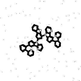 C1=CC(c2ccc3c(c2)c2ncccc2n3-c2cc(-n3c4ccc(-c5ccccc5-c5ccccn5)cc4c4ncccc43)cc3c2oc2ccccc23)C(c2ccccn2)C=C1